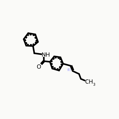 CCC/C=C/c1ccc(C(=O)NCc2ccccc2)cc1